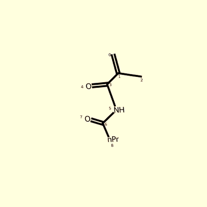 C=C(C)C(=O)NC(=O)CCC